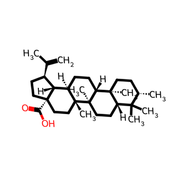 C=C(C)[C@@H]1CC[C@]2(C(=O)O)CC[C@]3(C)[C@H](CC[C@@H]4[C@@]5(C)CC[C@H](C)C(C)(C)[C@@H]5CC[C@]43C)[C@@H]12